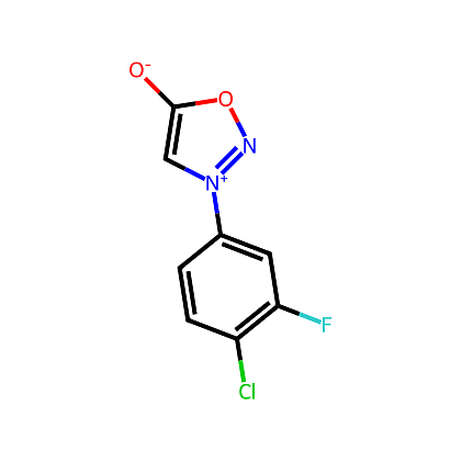 [O-]c1c[n+](-c2ccc(Cl)c(F)c2)no1